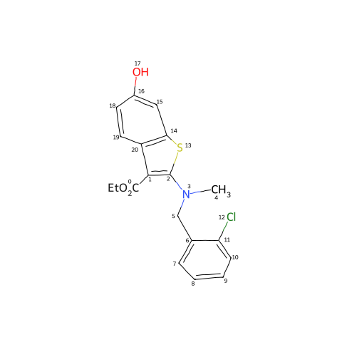 CCOC(=O)c1c(N(C)Cc2ccccc2Cl)sc2cc(O)ccc12